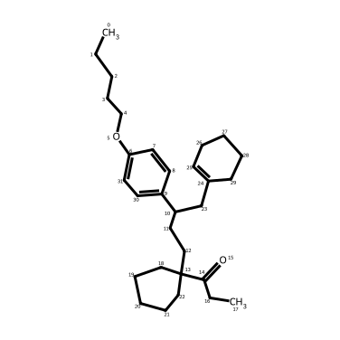 CCCCCOc1ccc(C(CCC2(C(=O)CC)CCCCC2)CC2=CCCCC2)cc1